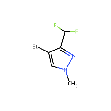 [CH2]Cc1cn(C)nc1C(F)F